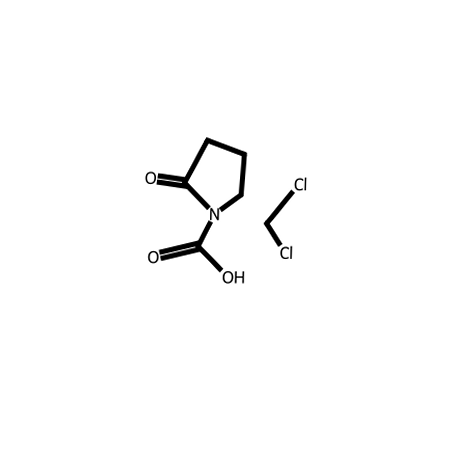 ClCCl.O=C(O)N1CCCC1=O